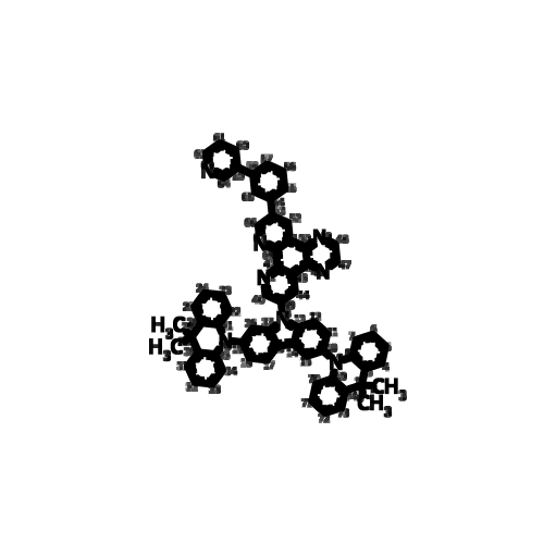 CC1(C)c2ccccc2N(c2ccc3c(c2)c2ccc(N4c5ccccc5C(C)(C)c5ccccc54)cc2n3-c2cnc3c(c2)c2nccnc2c2cc(-c4cccc(-c5cccnc5)c4)cnc23)c2ccccc21